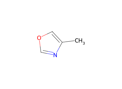 Cc1cocn1